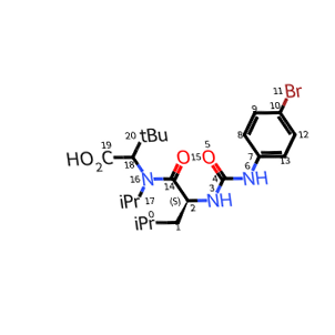 CC(C)C[C@H](NC(=O)Nc1ccc(Br)cc1)C(=O)N(C(C)C)C(C(=O)O)C(C)(C)C